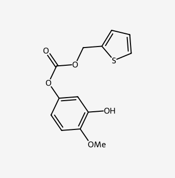 COc1ccc(OC(=O)OCc2cccs2)cc1O